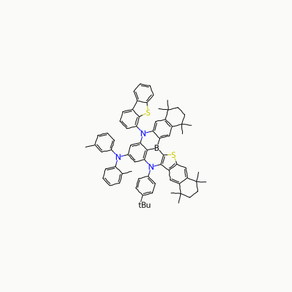 Cc1cccc(N(c2cc3c4c(c2)N(c2cccc5c2sc2ccccc25)c2cc5c(cc2B4c2sc4cc6c(cc4c2N3c2ccc(C(C)(C)C)cc2)C(C)(C)CCC6(C)C)C(C)(C)CCC5(C)C)c2ccccc2C)c1